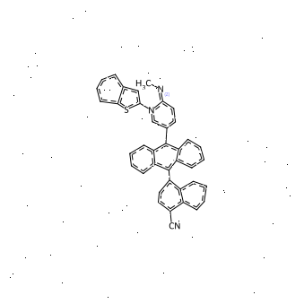 C/N=c1/ccc(-c2c3ccccc3c(-c3ccc(C#N)c4ccccc34)c3ccccc23)cn1-c1cc2ccccc2s1